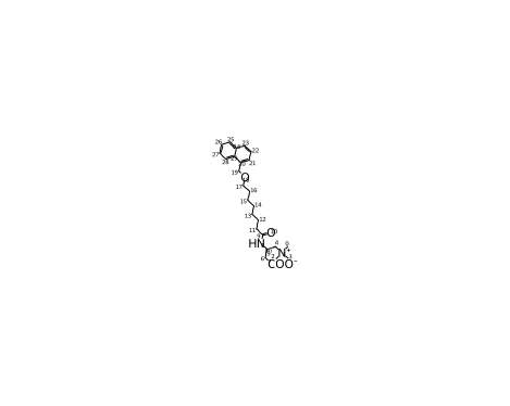 C[N+](C)(C)C[C@@H](CC(=O)[O-])NC(=O)CCCCCCCOCc1cccc2ccccc12